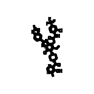 CCc1c(N2CCN(C(=O)c3ncnc(C)c3O)CC2)c(=O)n2nc(-c3ccc4nn(C)nc4c3)nc2n1CC(=O)Nc1ccc(C(F)(F)F)cc1Cl